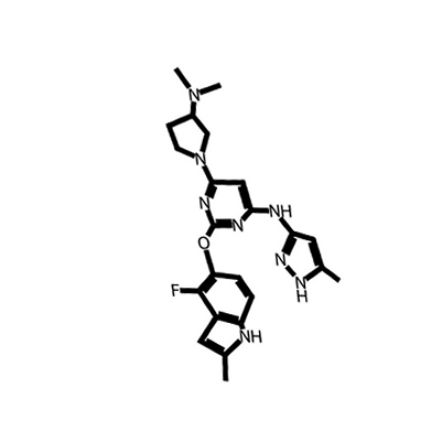 Cc1cc(Nc2cc(N3CCC(N(C)C)C3)nc(Oc3ccc4[nH]c(C)cc4c3F)n2)n[nH]1